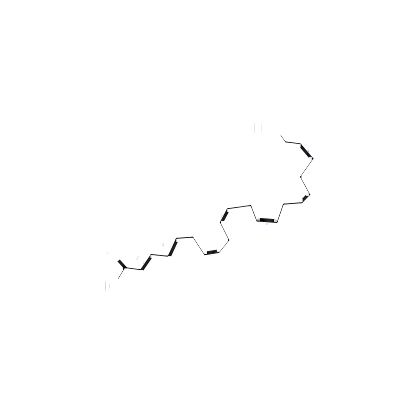 CC/C=C\C/C=C\C/C=C\C/C=C\C/C=C\C/C=C/C=C/C(=O)O